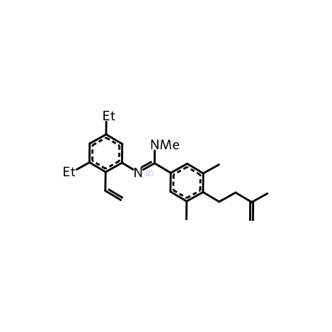 C=Cc1c(CC)cc(CC)cc1/N=C(\NC)c1cc(C)c(CCC(=C)C)c(C)c1